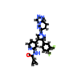 O=C(Nc1cc(-c2cn(C3=Nn4cnnc4CC3)nc2-c2ccc(F)c(F)c2)ccn1)C1CC1